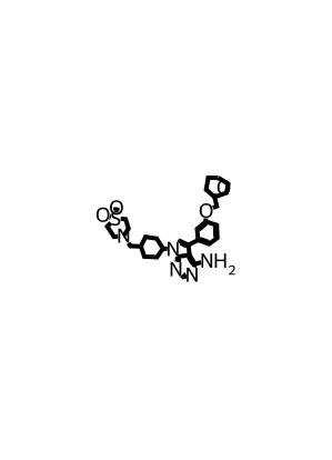 Nc1ncnc2c1c(-c1cccc(OCC34CCC(CC3)O4)c1)cn2C1CCC(CN2CCS(=O)(=O)CC2)CC1